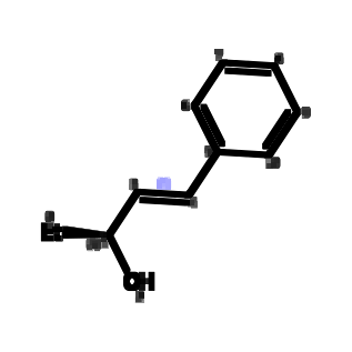 CC[C@H](O)/C=C/c1ccccc1